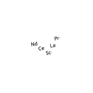 [Ce].[La].[Nd].[Pr].[Sc]